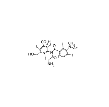 CC(=O)N(C)c1c(I)cc(I)c(C(=O)N(C(=O)CN)c2c(I)c(CO)c(I)c(C(=O)O)c2I)c1I